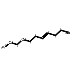 CCCOCOCCC=CCCBr